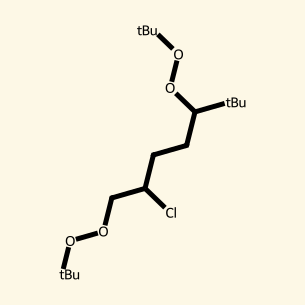 CC(C)(C)OOCC(Cl)CCC(OOC(C)(C)C)C(C)(C)C